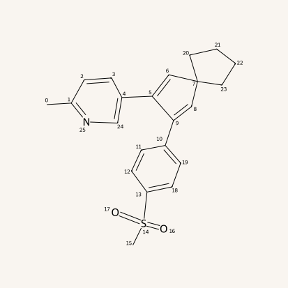 Cc1ccc(C2=CC3(C=C2c2ccc(S(C)(=O)=O)cc2)CCCC3)cn1